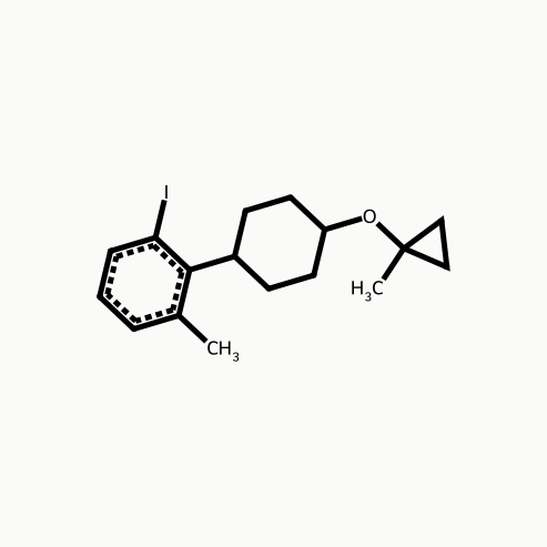 Cc1cccc(I)c1C1CCC(OC2(C)CC2)CC1